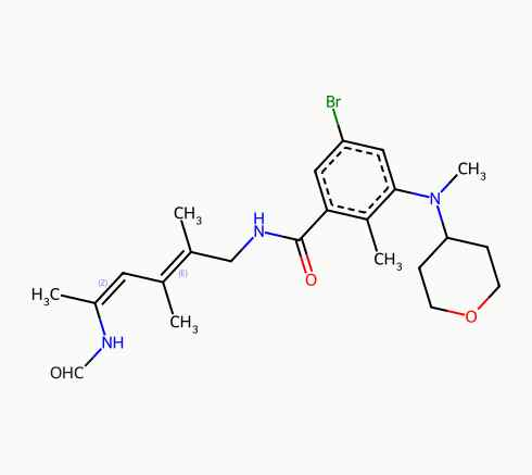 C/C(=C/C(C)=C(\C)CNC(=O)c1cc(Br)cc(N(C)C2CCOCC2)c1C)NC=O